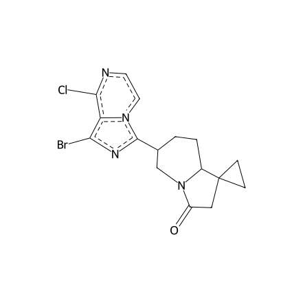 O=C1CC2(CC2)C2CCC(c3nc(Br)c4c(Cl)nccn34)CN12